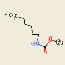 CCOC(=O)CCCCCNC(=O)OC(C)(C)C